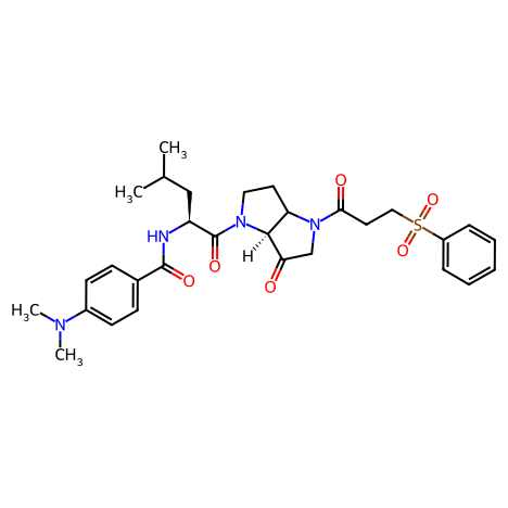 CC(C)C[C@H](NC(=O)c1ccc(N(C)C)cc1)C(=O)N1CCC2[C@H]1C(=O)CN2C(=O)CCS(=O)(=O)c1ccccc1